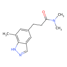 Cc1cc(C[CH]C(=O)N(C)C)cc2cn[nH]c12